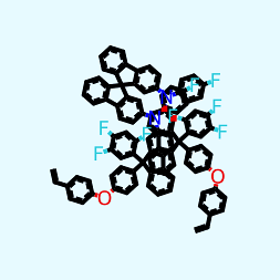 C=Cc1ccc(Oc2ccc(C3(c4cc(F)c(F)cc4F)c4ccccc4-c4ccc(N(c5ccc(F)cc5)c5ccc6c(c5)C5(c7ccccc7-6)c6ccccc6-c6ccc(N(c7ccc(F)cc7)c7ccc8c(c7)C(c7ccc(Oc9ccc(C=C)cc9)cc7)(c7cc(F)c(F)cc7F)c7ccccc7-8)cc65)cc43)cc2)cc1